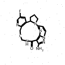 Nc1nn2ccc3nc2c1C(=O)NCCCc1ncc(F)cc1C1CCCN31